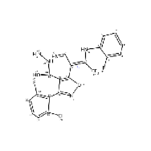 N=C/C(=C(\Nc1ccccc1F)C(F)(F)F)c1onc(-c2c(F)cccc2Cl)c1[C@@H](O)NN